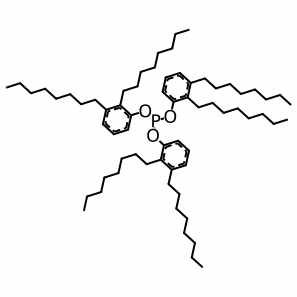 CCCCCCCCc1cccc(OP(Oc2cccc(CCCCCCCC)c2CCCCCCCC)Oc2cccc(CCCCCCCC)c2CCCCCCCC)c1CCCCCCCC